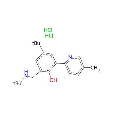 Cc1ccc(-c2cc(C(C)(C)C)cc(CNC(C)(C)C)c2O)nc1.Cl.Cl